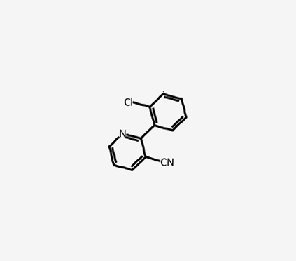 N#Cc1cccnc1-c1ccc[c]c1Cl